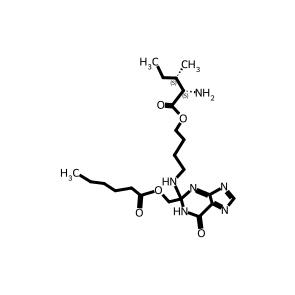 CCCCCC(=O)OCC1(NCCCCOC(=O)[C@@H](N)[C@@H](C)CC)N=C2N=CN=C2C(=O)N1